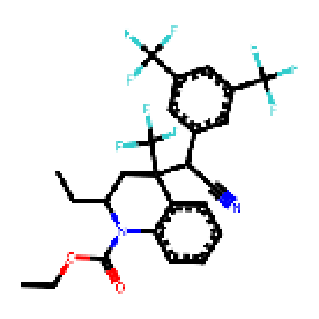 CCOC(=O)N1c2ccccc2C(C(C#N)c2cc(C(F)(F)F)cc(C(F)(F)F)c2)(C(F)(F)F)CC1CC